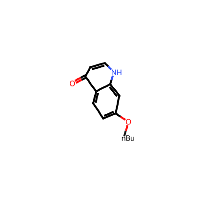 CCCCOc1ccc2c(=O)cc[nH]c2c1